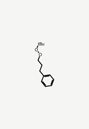 CC(C)(C)OOCCCc1ccccc1